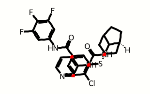 O=C(Nc1cccnc1)NC1C2CC[C@H]1C[C@H](Sc1cc(C(=O)Nc3cc(F)c(F)c(F)c3)ccc1Cl)C2